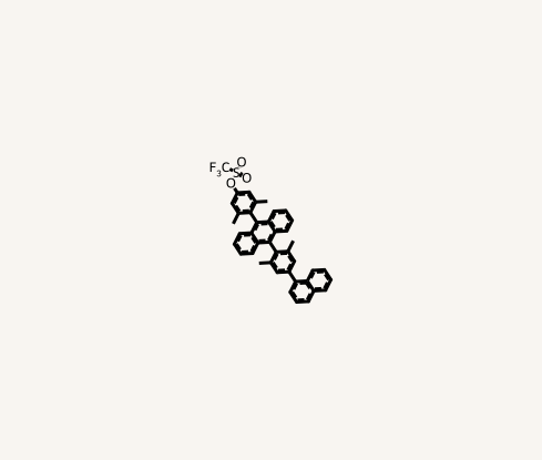 Cc1cc(OS(=O)(=O)C(F)(F)F)cc(C)c1-c1c2ccccc2c(-c2c(C)cc(-c3cccc4ccccc34)cc2C)c2ccccc12